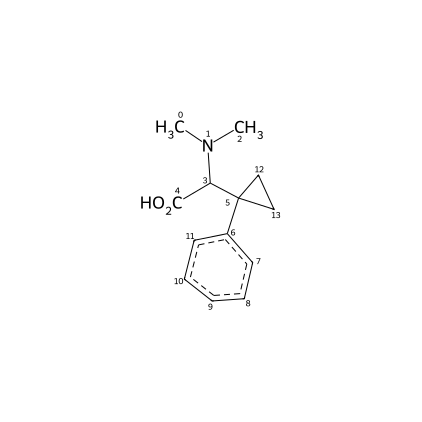 CN(C)C(C(=O)O)C1(c2ccccc2)CC1